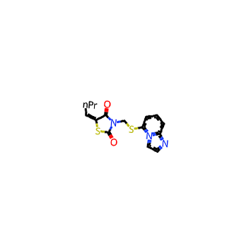 CCC/C=C1/SC(=O)N(CSc2cccc3nccn23)C1=O